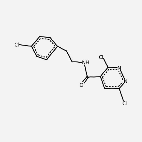 O=C(NCCc1ccc(Cl)cc1)c1cc(Cl)nnc1Cl